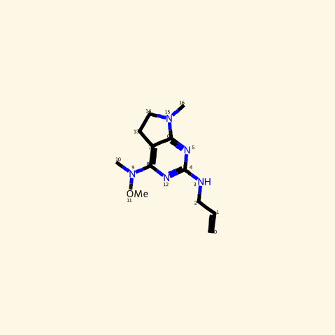 C=CCNc1nc2c(c(N(C)OC)n1)CCN2C